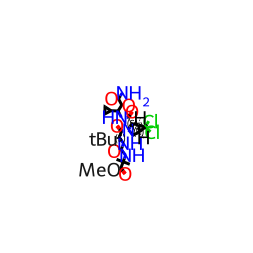 COC(=O)C(C)(C)NC(=O)N[C@H](C(=O)N1C[C@H]2[C@@H]([C@H]1C(=O)NC(C(=O)C(N)=O)C1CC1)C2(Cl)Cl)C(C)(C)C